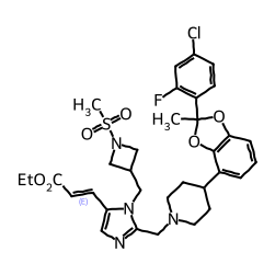 CCOC(=O)/C=C/c1cnc(CN2CCC(c3cccc4c3OC(C)(c3ccc(Cl)cc3F)O4)CC2)n1CC1CN(S(C)(=O)=O)C1